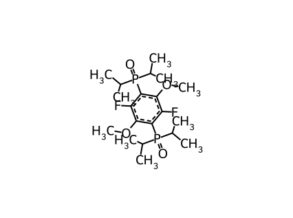 COc1c(F)c(P(=O)(C(C)C)C(C)C)c(OC)c(F)c1P(=O)(C(C)C)C(C)C